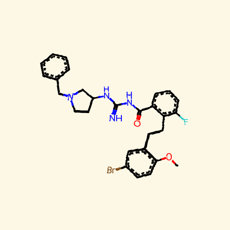 COc1ccc(Br)cc1CCc1c(F)cccc1C(=O)NC(=N)NC1CCN(Cc2ccccc2)C1